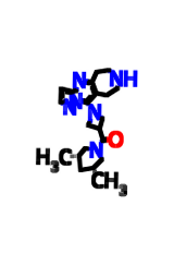 C[C@@H]1C[C@H](C)CN(C(=O)C2CN(c3c4c(nc5ccnn35)CCNCC4)C2)C1